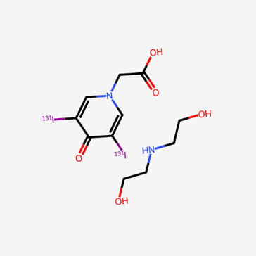 O=C(O)Cn1cc([131I])c(=O)c([131I])c1.OCCNCCO